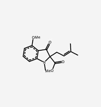 COC(=O)C1(CC=C(C)C)C(=O)c2c(OC)cccc2N1C